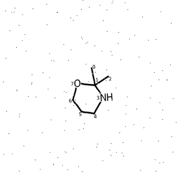 CC1(C)NCCCO1